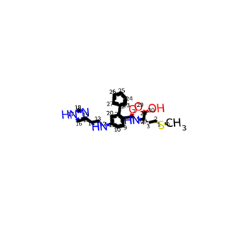 CSCC[C@H](NC(=O)c1ccc(NCCc2c[nH]cn2)cc1-c1ccccc1)C(=O)O